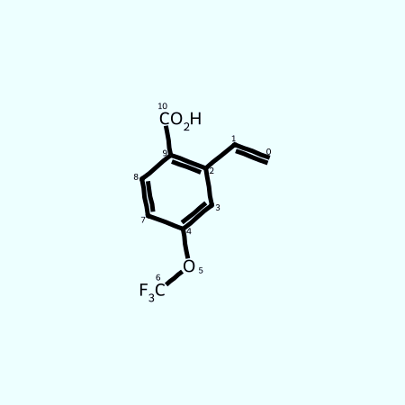 C=Cc1cc(OC(F)(F)F)ccc1C(=O)O